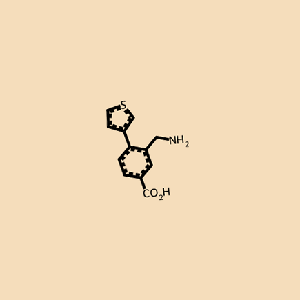 NCc1cc(C(=O)O)ccc1-c1ccsc1